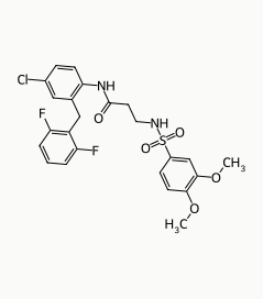 COc1ccc(S(=O)(=O)NCCC(=O)Nc2ccc(Cl)cc2Cc2c(F)cccc2F)cc1OC